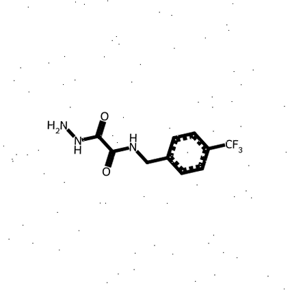 NNC(=O)C(=O)NCc1ccc(C(F)(F)F)cc1